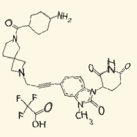 Cn1c(=O)n(C2CCC(=O)NC2=O)c2ccc(C#CCN3CC4(CCN(C(=O)C5CCC(N)CC5)C4)C3)cc21.O=C(O)C(F)(F)F